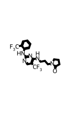 O=C1CCCN1CCCNc1nc(Nc2ccccc2C(F)(F)F)ncc1C(F)(F)F